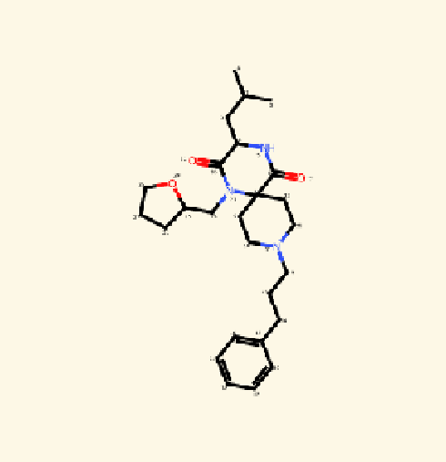 CC(C)CC1NC(=O)C2(CCN(CCCc3ccccc3)CC2)N(CC2CCCO2)C1=O